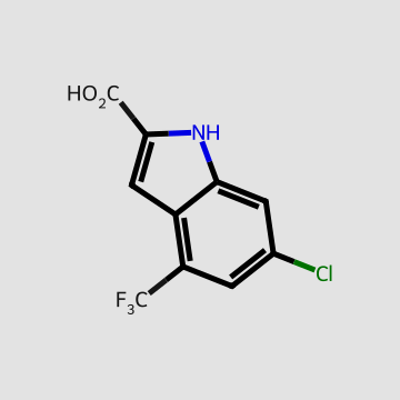 O=C(O)c1cc2c(C(F)(F)F)cc(Cl)cc2[nH]1